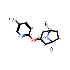 Cc1ccc(OC2C[C@H]3CC[C@@H](C2)N3C(=O)O)nc1